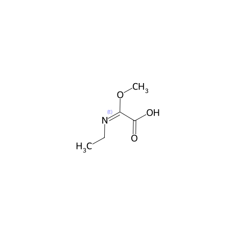 CC/N=C(/OC)C(=O)O